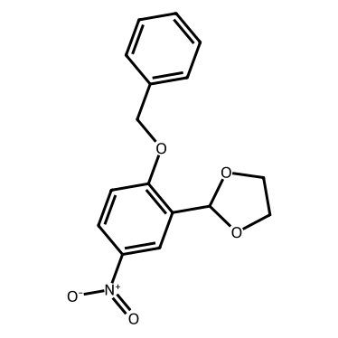 O=[N+]([O-])c1ccc(OCc2ccccc2)c(C2OCCO2)c1